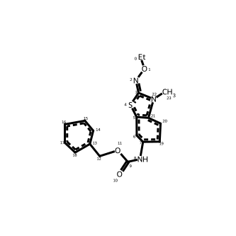 CCON=c1sc2cc(NC(=O)OCc3ccccc3)ccc2n1C